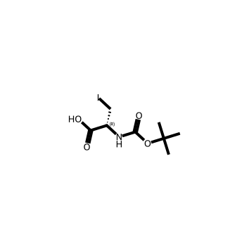 CC(C)(C)OC(=O)N[C@@H](CI)C(=O)O